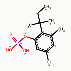 CCC(C)(C)c1c(C)cc(C)cc1OP(=O)(O)O